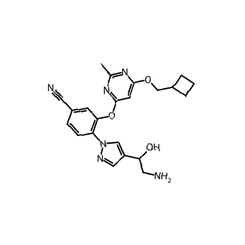 Cc1nc(OCC2CCC2)cc(Oc2cc(C#N)ccc2-n2cc(C(O)CN)cn2)n1